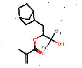 C=C(C)C(=O)OC(CC1CC2CCC1C2)C(O)(C(F)(F)F)C(F)(F)F